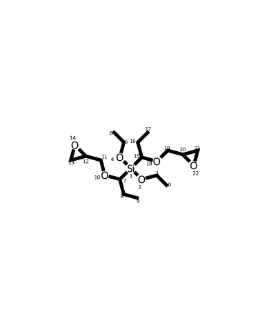 CCO[Si](OCC)(C(CC)OCC1CO1)C(CC)OCC1CO1